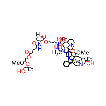 CCC(CO)OC(COC(=O)CCCC(=O)N[C@H](C)C(=O)OCCCNC(=O)[C@]1(O)C2N(C)c3cc(OC)c(C4(C(=O)OC)CC5C[N@](CCc6c4[nH]c4ccccc64)CC(O)(CC)C5)cc3C23CCN2CC=C[C@](CC)(C23)[C@H]1O)OC